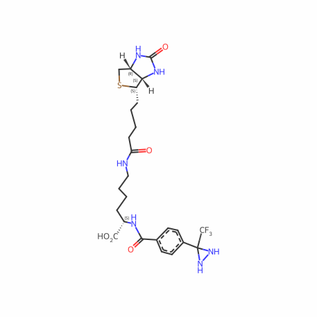 O=C(CCCC[C@@H]1SC[C@@H]2NC(=O)N[C@@H]21)NCCCC[C@H](NC(=O)c1ccc(C2(C(F)(F)F)NN2)cc1)C(=O)O